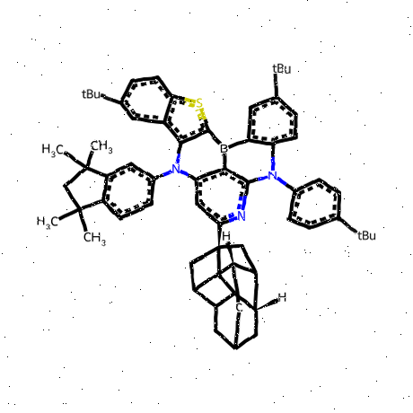 CC(C)(C)c1ccc(N2c3ccc(C(C)(C)C)cc3B3c4sc5ccc(C(C)(C)C)cc5c4N(c4ccc5c(c4)C(C)(C)CC5(C)C)c4cc([C@]56CC7C8CC9C[C@H]7C(C5)[C@H](C9)C8C6)nc2c43)cc1